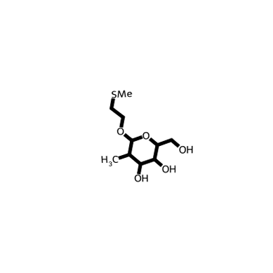 CSCCOC1OC(CO)C(O)C(O)C1C